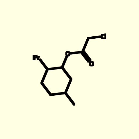 CC1CCC(C(C)C)C(OC(=O)CCl)C1